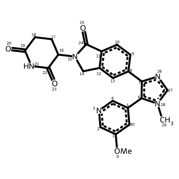 COc1cncc(-c2c(-c3ccc4c(c3)CN(C3CCC(=O)NC3=O)C4=O)ncn2C)c1